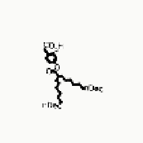 CCCCCCCCCCCCCCCCC(CCCCCCCCCCCCCCCC)C(=O)Oc1ccc(CC(=O)O)cc1